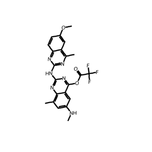 CNc1cc(C)c2nc(Nc3nc(C)c4cc(OC)ccc4n3)nc(OC(=O)C(F)(F)F)c2c1